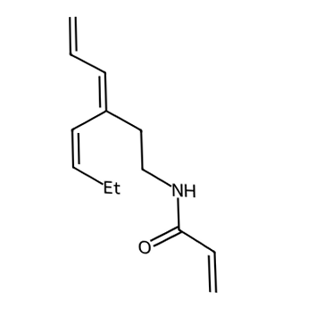 C=C/C=C(\C=C/CC)CCNC(=O)C=C